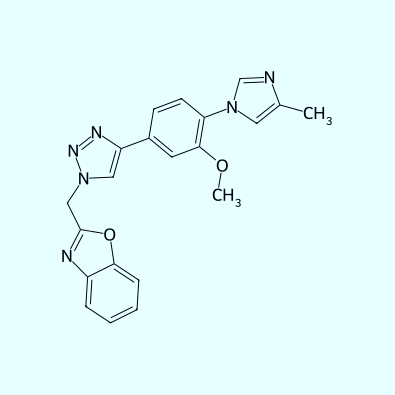 COc1cc(-c2cn(Cc3nc4ccccc4o3)nn2)ccc1-n1cnc(C)c1